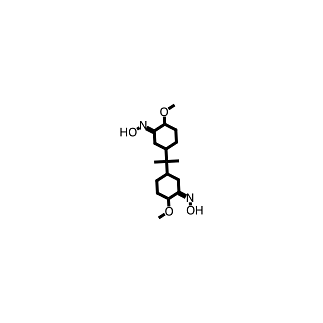 COC1CCC(C(C)(C)C2CCC(OC)C(=NO)C2)CC1=NO